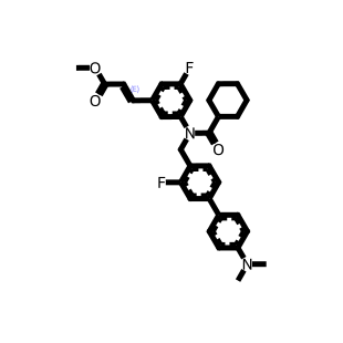 COC(=O)/C=C/c1cc(F)cc(N(Cc2ccc(-c3ccc(N(C)C)cc3)cc2F)C(=O)C2CCCCC2)c1